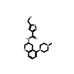 CC(C)Cc1cc(C(=O)N[C@@H]2COc3cccc(N4CCN(C)CC4)c3C2)no1